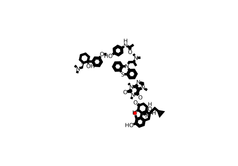 CC(=O)Nc1ccc(O)cc1.CC(CN1c2ccccc2Sc2ccccc21)N(C)C.COc1cccc([C@@]2(O)CCCC[C@@H]2CN(C)C)c1.Cn1c(=O)c2c(ncn2C)n(C)c1=O.O=C1CC[C@@]2(O)[C@H]3Cc4ccc(O)c5c4[C@@]2(CCN3CC2CC2)[C@H]1O5